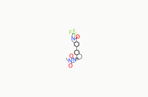 CCN1C(=O)CN([C@H]2CCCc3cc(-c4ccc5c(c4)CN(CC(F)(F)F)C5=O)ccc32)C1=O